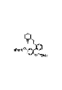 CCCCCOc1ccc(OCOC)c(-c2ccccc2C=CC2CCCCN2C)c1